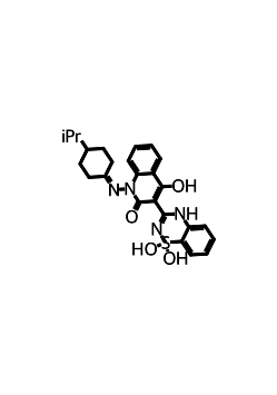 CC(C)C1CCC(=Nn2c(=O)c(C3=NS(O)(O)c4ccccc4N3)c(O)c3ccccc32)CC1